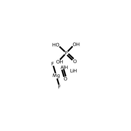 O=P(O)(O)O.[F][Mg][F].[LiH].[O]=[AlH]